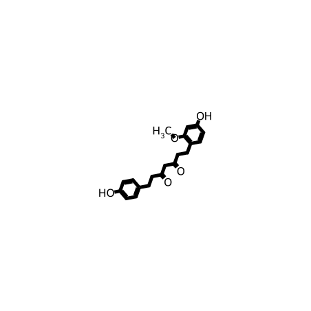 COc1cc(O)ccc1CCC(=O)CC(=O)CCc1ccc(O)cc1